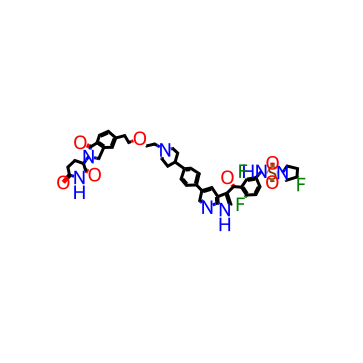 O=C1CCC(N2Cc3cc(CCOCCN4CCC(c5ccc(-c6cnc7[nH]cc(C(=O)c8c(F)ccc(NS(=O)(=O)N9CC[C@@H](F)C9)c8F)c7c6)cc5)CC4)ccc3C2=O)C(=O)N1